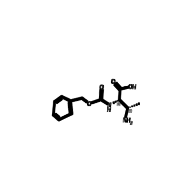 C[C@H](N)[C@H](NC(=O)OCc1ccccc1)C(=O)O